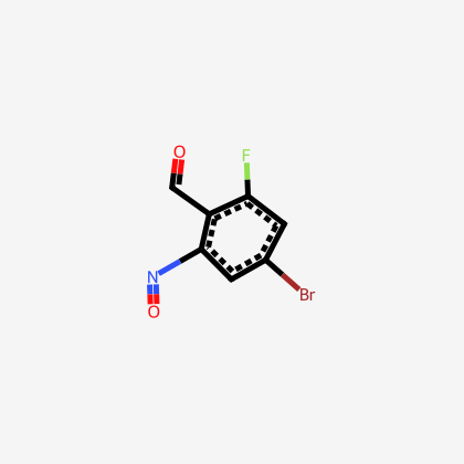 O=Cc1c(F)cc(Br)cc1N=O